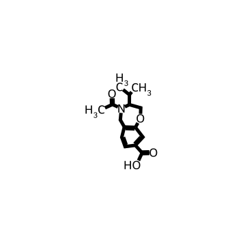 CC(=O)N1Cc2ccc(C(=O)O)cc2OCC1C(C)C